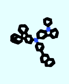 c1ccc(-n2c3ccccc3c3cc(N(c4ccc(-c5ccc6ccccc6c5)cc4)c4ccc5c(c4)-c4ccccc4C54C5CC6CC(C5)CC4C6)ccc32)cc1